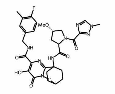 CO[C@H]1CC(C(=O)NC23CCC(CC2)Cn2c3nc(C(=O)NCc3ccc(F)c(C)c3)c(O)c2=O)N(C(=O)c2ncn(C)n2)C1